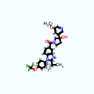 COc1cncc(C2(O)CCN(C(=O)c3ccc4c(c3)nc(C(C)C)n4-c3ccc(OC(F)(F)F)cc3)C2)c1